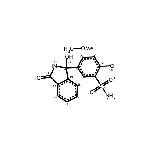 COC.NS(=O)(=O)c1cc(C2(O)NC(=O)c3ccccc32)ccc1Cl